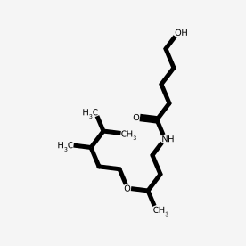 CC(CCNC(=O)CCCCO)OCCC(C)C(C)C